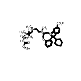 CN(CCN(C)[C@H]1COc2ccccc2-c2c(C3CCCCC3)c3ccc(C(=O)O)cc3n2C1)CC(C)(C)N(C)S(=O)(=O)NC(=O)OC(C)(C)C